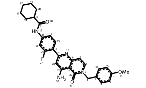 COc1ccc(Cn2ccc3nc(-c4ccc(NC(=O)C5CCCCC5)cc4F)cc(N)c3c2=O)cc1